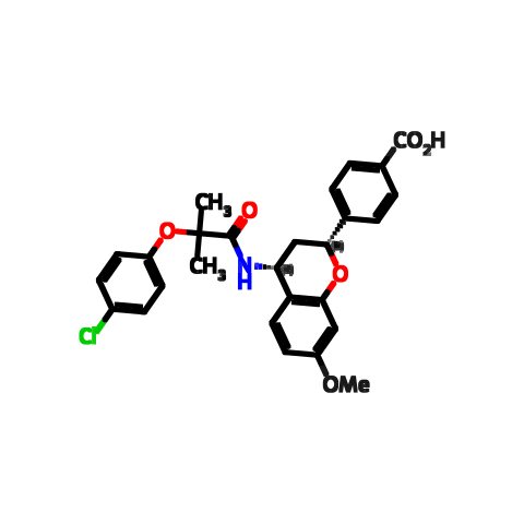 COc1ccc2c(c1)O[C@@H](c1ccc(C(=O)O)cc1)C[C@H]2NC(=O)C(C)(C)Oc1ccc(Cl)cc1